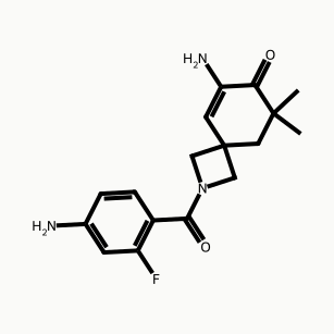 CC1(C)CC2(C=C(N)C1=O)CN(C(=O)c1ccc(N)cc1F)C2